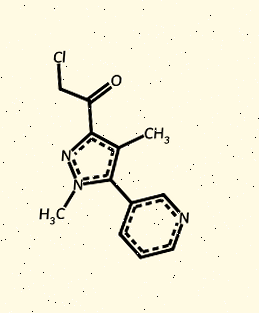 Cc1c(C(=O)CCl)nn(C)c1-c1cccnc1